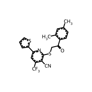 Cc1ccc(C(=O)CSc2nc(-c3cccs3)cc(C(F)(F)F)c2C#N)c(C)c1